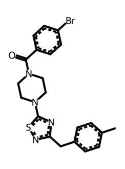 Cc1ccc(Cc2nsc(N3CCN(C(=O)c4ccc(Br)cc4)CC3)n2)cc1